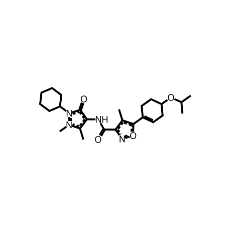 Cc1c(C(=O)Nc2c(C)n(C)n(C3CCCCC3)c2=O)noc1C1=CCC(OC(C)C)CC1